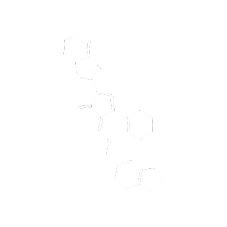 O=C1/C(=C/NCc2ccc3c(c2)OCO3)C(c2ccccc2)=NN1c1nc2ccccc2s1